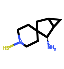 N[C@H]1C2CC2CC12CCN(S)CC2